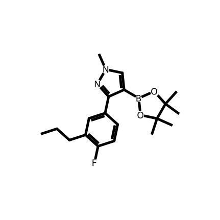 CCCc1cc(-c2nn(C)cc2B2OC(C)(C)C(C)(C)O2)ccc1F